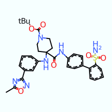 Cc1nc(-c2cccc(NC3(C(=O)Nc4ccc(-c5ccccc5S(N)(=O)=O)cc4)CCN(C(=O)OC(C)(C)C)CC3)c2)no1